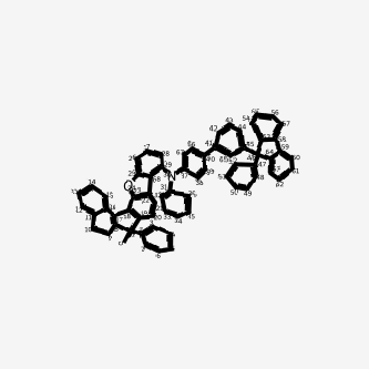 CC1(c2ccccc2)c2ccc3ccccc3c2-c2c1ccc1c2oc2cccc(N(c3ccccc3)c3ccc(-c4cccc(C5(c6ccccc6)c6ccccc6-c6ccccc65)c4)cc3)c21